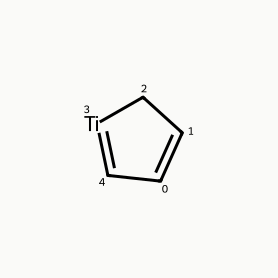 C1=C[CH2][Ti]=[CH]1